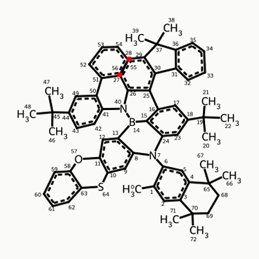 Cc1cc2c(cc1N1c3cc4c(cc3B3c5c(cc(C(C)(C)C)cc51)-c1c(ccc5c1-c1ccccc1C5(C)C)N3c1ccc(C(C)(C)C)cc1-c1ccccc1)Oc1ccccc1S4)C(C)(C)CCC2(C)C